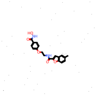 Cc1ccc2oc(C(=O)NCCOc3ccc(C(=O)NO)cc3)cc2c1